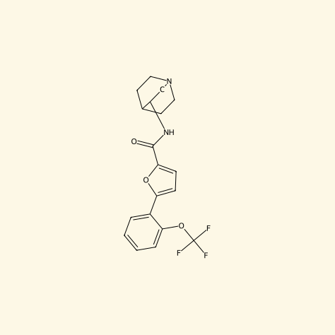 O=C(NC1CN2CCC1CC2)c1ccc(-c2ccccc2OC(F)(F)F)o1